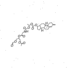 C=C1C=C2CCC3[C@H](CC[C@]4(C)C(OC(=O)OC(C)OC(=O)NCC(=O)OC(COC=O)COC(C)=O)CC[C@@H]34)C2(C)CC1